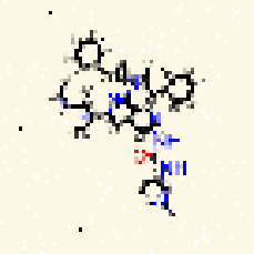 C=C/C(=C\N(C)C)NC(=O)Nc1cc2cc(/C(C=C)=C(C)/C=C\C)nc(N(B(C)Cc3ccccc3)B(C)Cc3ccccc3)c2cn1